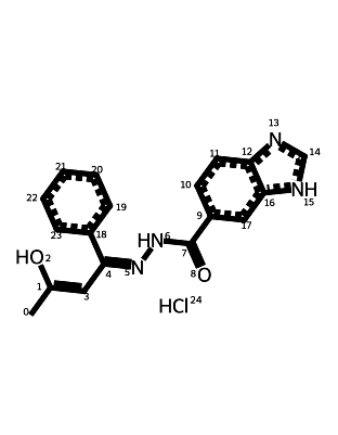 CC(O)=CC(=NNC(=O)c1ccc2nc[nH]c2c1)c1ccccc1.Cl